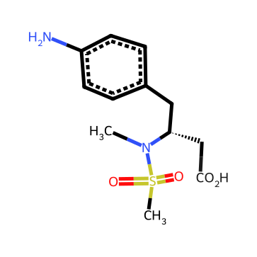 CN([C@@H](CC(=O)O)Cc1ccc(N)cc1)S(C)(=O)=O